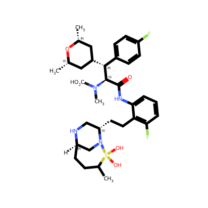 CC1CC[C@@H]2CN([C@@H](CCc3c(F)cccc3NC(=O)[C@H]([C@@H](c3ccc(F)cc3)C3C[C@@H](C)O[C@@H](C)C3)N(C)C(=O)O)CN2)S1(O)O